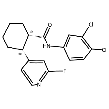 O=C(Nc1ccc(Cl)c(Cl)c1)[C@H]1CCCC[C@H]1c1ccnc(F)c1